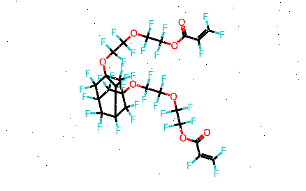 O=C(OC(F)(F)C(F)(F)OC(F)(F)C(F)(F)OC12C(F)(F)C3(F)C(F)(F)C(F)(C1(F)F)C(F)(F)C(OC(F)(F)C(F)(F)OC(F)(F)C(F)(F)OC(=O)C(F)=C(F)F)(C3(F)F)C2(F)F)C(F)=C(F)F